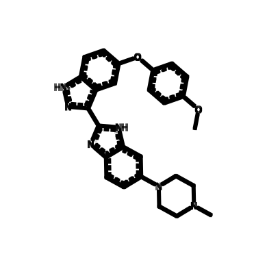 COc1ccc(Oc2ccc3[nH]nc(-c4nc5ccc(N6CCN(C)CC6)cc5[nH]4)c3c2)cc1